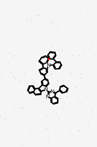 c1ccc(-c2ccccc2-n2c3ccccc3c3ccc(-c4ccc5c(c4)c4c6ccccc6ccc4n5-c4nc(-c5ccccc5)c5ccccc5n4)cc32)cc1